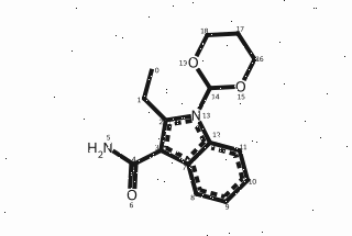 CCc1c(C(N)=O)c2ccccc2n1C1OCCCO1